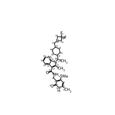 CSc1cc(C)[nH]c(=O)c1CNC(=O)c1c(C)n([C@H](C)C2CCC(CN3CC(F)(F)C3)CC2)c2ncccc12